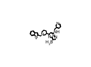 Bc1cnn2c(NCc3cccnc3)cc(C3CCCN(Cc4cc5ccccc5n4C)C3)nc12